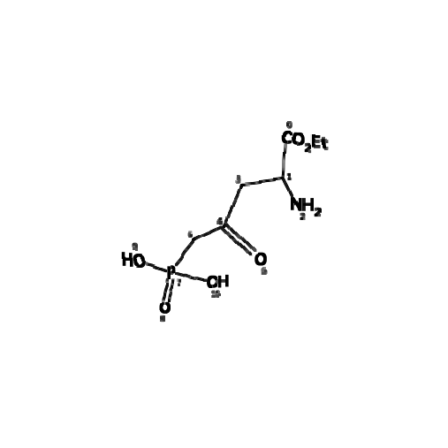 CCOC(=O)C(N)CC(=O)CP(=O)(O)O